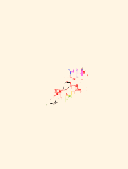 CCC(O)C(O)C1OC(Oc2cccc(C3(OCC(F)(F)F)OOC34C3CC5CC4CC(Cl)(C5)C3)c2)(C(=O)O)CC(O)C1NC(C)=O